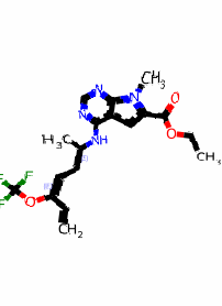 C=C/C(=C\C=C(/C)Nc1ncnc2c1cc(C(=O)OCC)n2C)OC(F)(F)F